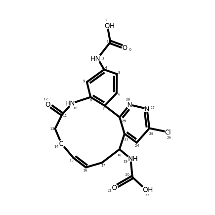 O=C(O)Nc1ccc2c(c1)NC(=O)CCC=CCC(NC(=O)O)c1cc(Cl)nnc1-2